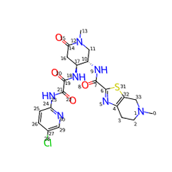 CN1CCc2nc(C(=O)N[C@H]3CN(C)C(=O)C[C@@H]3NC(=O)C(=O)Nc3ccc(Cl)cn3)sc2C1